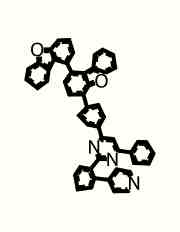 c1ccc(-c2cc(-c3ccc(-c4ccc(-c5cccc6oc7ccccc7c56)c5c4oc4ccccc45)cc3)nc(-c3ccccc3-c3ccncc3)n2)cc1